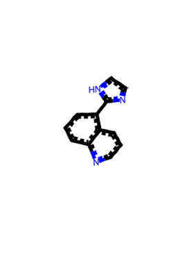 [c]1c[nH]c(-c2cccc3ncccc23)n1